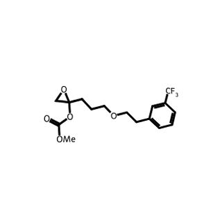 COC(=O)OC1(CCCOCCc2cccc(C(F)(F)F)c2)CO1